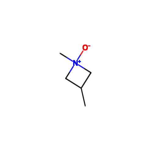 CC1C[N+](C)([O-])C1